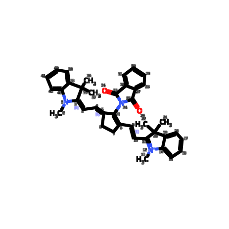 CN1/C(=C/C=C2\CCC(/C=C/C3=[N+](C)c4ccccc4C3(C)C)=C2N2C(=O)c3ccccc3C2=O)C(C)(C)c2ccccc21